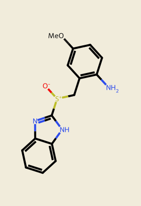 COc1ccc(N)c(C[S+]([O-])c2nc3ccccc3[nH]2)c1